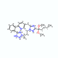 CCCCC(OC)(OC)c1nc(Cc2ccc(-c3ccccc3-c3nnn[nH]3)nc2)n(CCC)n1